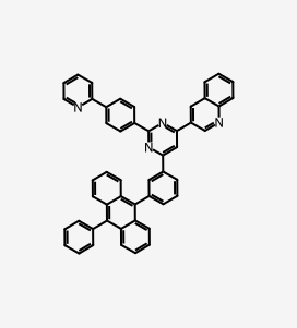 c1ccc(-c2c3ccccc3c(-c3cccc(-c4cc(-c5cnc6ccccc6c5)nc(-c5ccc(-c6ccccn6)cc5)n4)c3)c3ccccc23)cc1